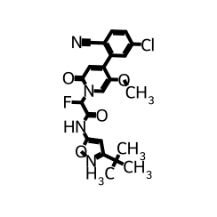 COc1cn(C(F)C(=O)Nc2cc(C(C)(C)C)no2)c(=O)cc1-c1cc(Cl)ccc1C#N